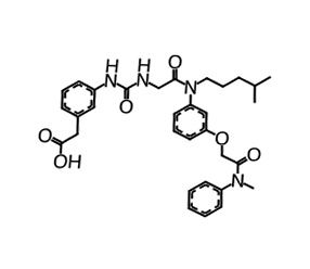 CC(C)CCCN(C(=O)CNC(=O)Nc1cccc(CC(=O)O)c1)c1cccc(OCC(=O)N(C)c2ccccc2)c1